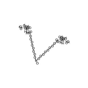 CC(C)(C)OC(=O)CC[C@H](NC(=O)N[C@@H](CCC(=O)NCCOCCOCCOCCOCCOCCOCCOCCOCCN(CCOCCOCCOCCOCCOCCOCCOCCOCCNC(=O)CC[C@H](NC(=O)N[C@@H](CCC(=O)OC(C)(C)C)C(=O)OC(C)(C)C)C(=O)OC(C)(C)C)Cc1ccccc1)C(=O)OC(C)(C)C)C(=O)OC(C)(C)C